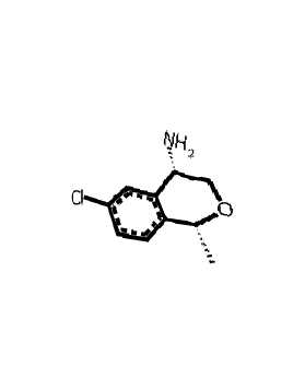 C[C@H]1OC[C@@H](N)c2cc(Cl)ccc21